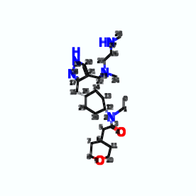 CCN(C(=O)CC1CCOCC1)[C@H]1CC[C@@H](Cc2n[nH]cc2CN(C)CCNC)CC1